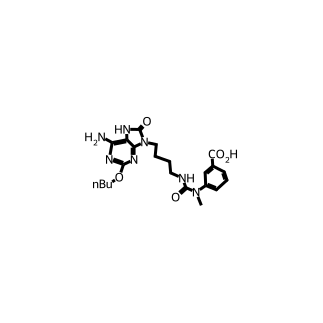 CCCCOc1nc(N)c2[nH]c(=O)n(CCCCNC(=O)N(C)c3cccc(C(=O)O)c3)c2n1